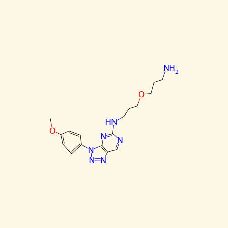 COc1ccc(-n2nnc3cnc(NCCCOCCCN)nc32)cc1